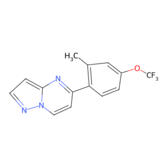 Cc1cc(OC(F)(F)F)ccc1-c1ccn2nccc2n1